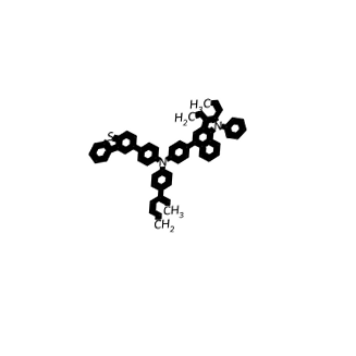 C=C/C=C\C(=C/C)c1ccc(N(c2ccc(-c3ccc4sc5ccccc5c4c3)cc2)c2ccc(-c3cc4c(C=C)c(/C=C\C)n(-c5ccccc5)c4c4ccccc34)cc2)cc1